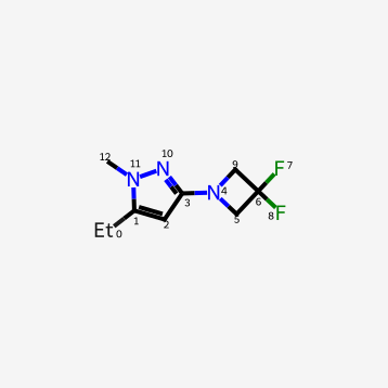 CCc1cc(N2CC(F)(F)C2)nn1C